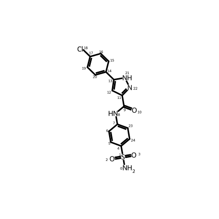 NS(=O)(=O)c1ccc(NC(=O)c2cc(-c3ccc(Cl)cc3)[nH]n2)cc1